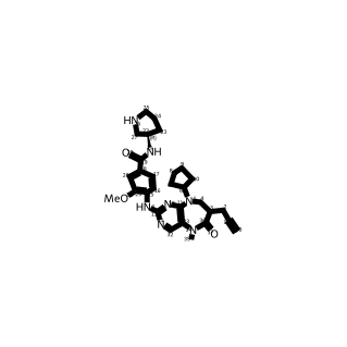 C#CCC1CN(C2CCCC2)c2nc(Nc3ccc(C(=O)N[C@@H]4CCCNC4)cc3OC)ncc2N(C)C1=O